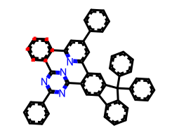 c1ccc(-c2cc(-c3ccccc3)nc(-c3cc4c(cc3-c3nc(-c5ccccc5)nc(-c5ccccc5)n3)-c3ccccc3C4(c3ccccc3)c3ccccc3)c2)cc1